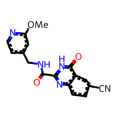 COc1cc(CNC(=O)c2nc3ccc(C#N)cc3c(=O)[nH]2)ccn1